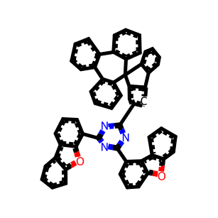 c1ccc2c(c1)-c1ccccc1C1(c3ccccc3-2)c2ccccc2-c2ccc(-c3nc(-c4cccc5c4oc4ccccc45)nc(-c4cccc5oc6ccccc6c45)n3)cc21